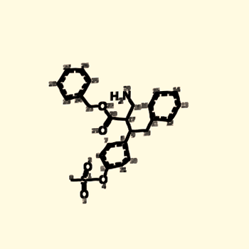 CS(=O)(=O)Oc1ccc(C(Cc2ccccc2)C(CN)C(=O)OCc2ccccc2)cc1